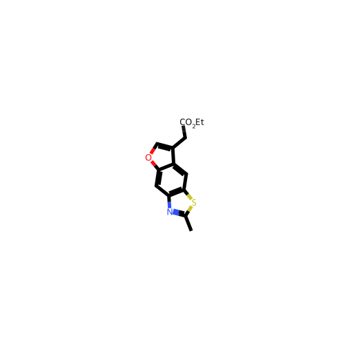 CCOC(=O)Cc1coc2cc3nc(C)sc3cc12